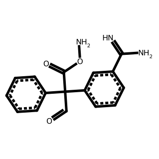 N=C(N)c1cccc(C(C=O)(C(=O)ON)c2ccccc2)c1